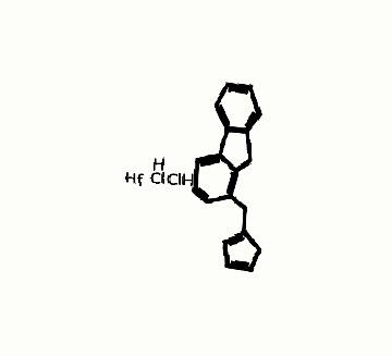 C1=CCC(Cc2cccc3c2Cc2ccccc2-3)=C1.Cl.Cl.[Hf]